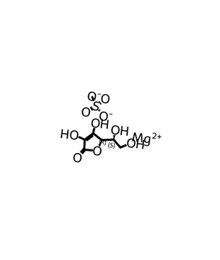 O=C1O[C@H]([C@@H](O)CO)C(O)=C1O.O=S(=O)([O-])[O-].[Mg+2]